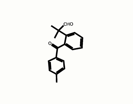 Cc1ccc(C(=O)c2ccccc2C(C)(C)C=O)cc1